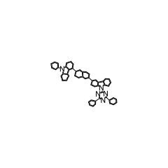 c1ccc(-c2nc(-c3ccccc3)nc(-n3c4ccccc4c4cc(-c5ccc6cc(-c7cccc8c7c7ccccc7n8-c7ccccc7)ccc6c5)ccc43)n2)cc1